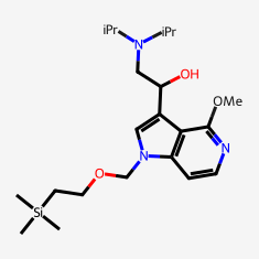 COc1nccc2c1c(C(O)CN(C(C)C)C(C)C)cn2COCC[Si](C)(C)C